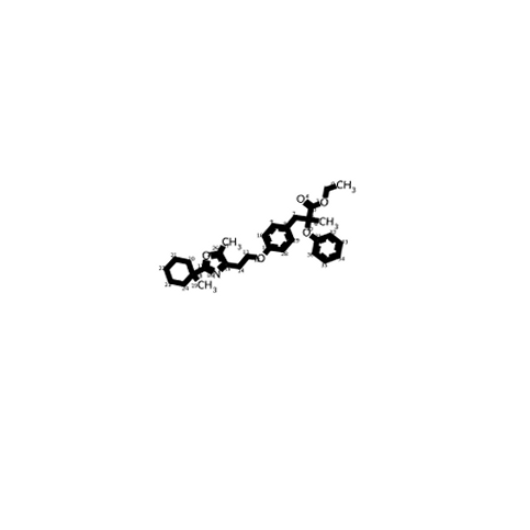 CCOC(=O)C(C)(Cc1ccc(OCCc2nc(C3(C)CCCCC3)oc2C)cc1)Oc1ccccc1